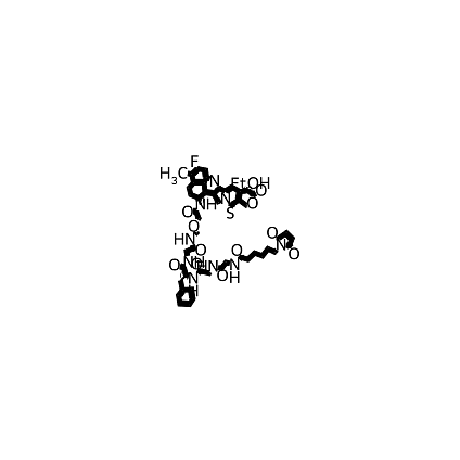 CC[C@@]1(O)C(=O)OCc2c1cc1n(c2=S)Cc2c-1nc1cc(F)c(C)c3c1c2[C@@H](NC(=O)COCNC(=O)CNC(=O)[C@H](Cc1ccccc1)NC(=O)CNC(=O)CNC(=O)CCCCCN1C(=O)C=CC1=O)CC3